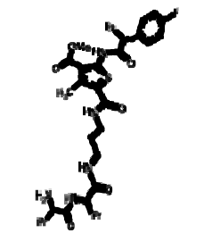 CCC(C(=O)Nc1sc(C(=O)NCCCNC(=O)C(NC(=O)C(N)C(C)C)C(C)C)c(C)c1C(=O)OC)c1ccc(F)cc1